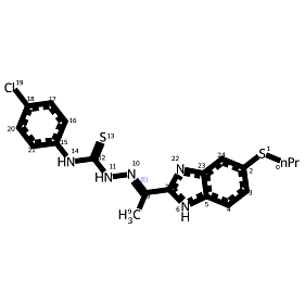 CCCSc1ccc2[nH]c(/C(C)=N/NC(=S)Nc3ccc(Cl)cc3)nc2c1